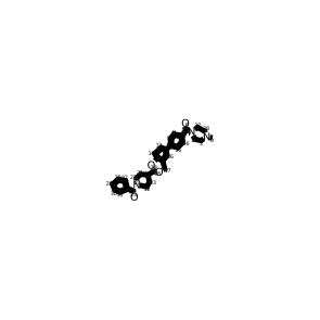 CN1CCN(C(=O)c2ccc(-c3ccc4c(c3)COC(C3CCN(C(=O)c5ccccc5)CC3)O4)cc2)CC1